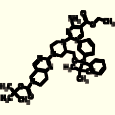 CCOC(=O)c1cnc(N2CCN(c3ncc4c(n3)CCN(C(=O)OC(C)(C)C)C4)CC2CO[Si](c2ccccc2)(c2ccccc2)C(C)(C)C)nc1N